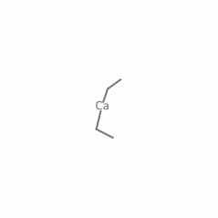 C[CH2][Ca][CH2]C